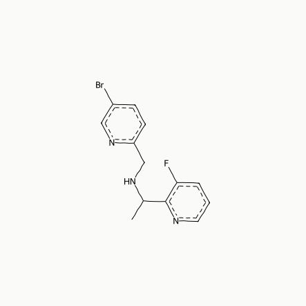 CC(NCc1ccc(Br)cn1)c1ncccc1F